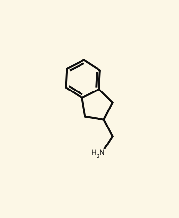 NCC1Cc2ccccc2C1